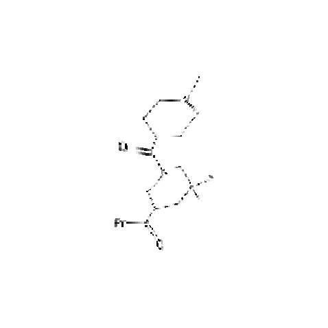 CC(C)C(=O)C1CN(C(=O)C2CCN(C)CC2)CC(F)(F)C1